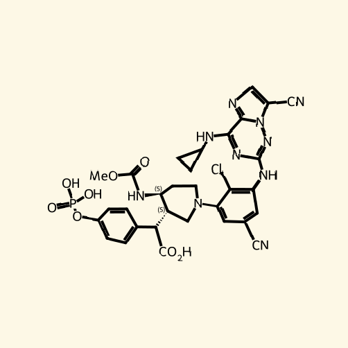 COC(=O)N[C@H]1CCN(c2cc(C#N)cc(Nc3nc(NC4CC4)c4ncc(C#N)n4n3)c2Cl)C[C@@H]1C(C(=O)O)c1ccc(OP(=O)(O)O)cc1